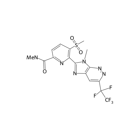 CNC(=O)c1ccc(S(C)(=O)=O)c(-c2nc3cc(C(F)(F)C(F)(F)F)nnc3n2C)n1